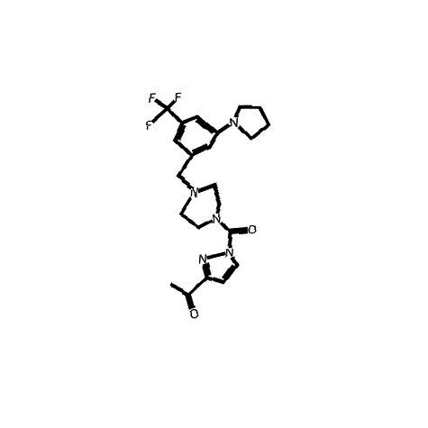 CC(=O)c1ccn(C(=O)N2CCN(Cc3cc(N4CCCC4)cc(C(F)(F)F)c3)CC2)n1